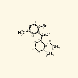 Cc1ccc(Br)c(C(=O)N2CCC[C@@H](C)[C@H]2CN)c1